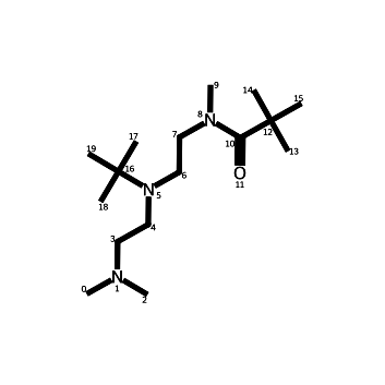 CN(C)CCN(CCN(C)C(=O)C(C)(C)C)C(C)(C)C